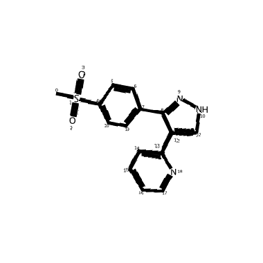 CS(=O)(=O)c1ccc(-c2n[nH]cc2-c2ccccn2)cc1